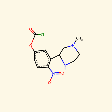 CN1CCNC(c2cc(OC(=O)Cl)ccc2[N+](=O)[O-])C1